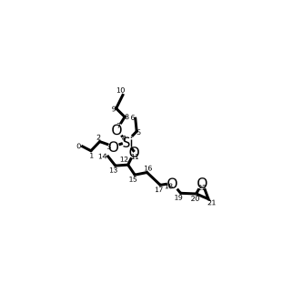 CCCO[Si](CC)(OCCC)OC(CC)CCCOCC1CO1